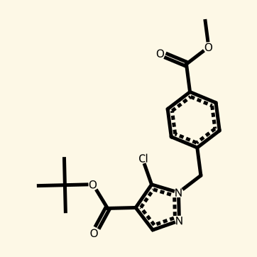 COC(=O)c1ccc(Cn2ncc(C(=O)OC(C)(C)C)c2Cl)cc1